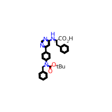 CC(C)(C)OC(=O)N(Cc1ccccc1)c1ccc(-c2cc(N[C@@H](Cc3ccccc3)C(=O)O)ncn2)cc1